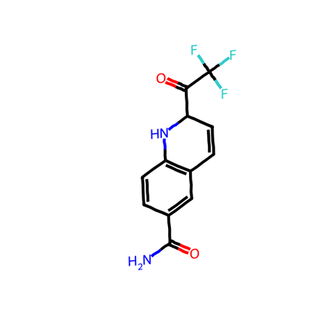 NC(=O)c1ccc2c(c1)C=CC(C(=O)C(F)(F)F)N2